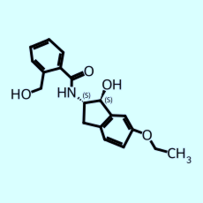 CCOc1ccc2c(c1)[C@H](O)[C@@H](NC(=O)c1ccccc1CO)C2